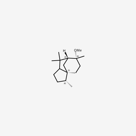 CO[C@]1(C)CC[C@@]23C[C@@H]1C(C)(C)C2CC[C@H]3C